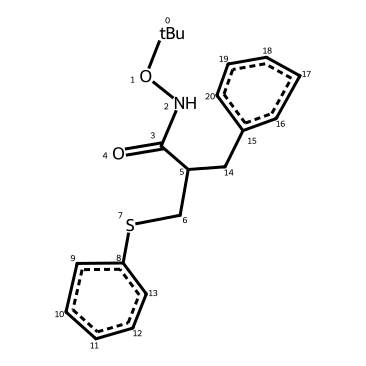 CC(C)(C)ONC(=O)C(CSc1ccccc1)Cc1ccccc1